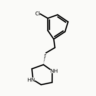 Clc1cccc(CC[C@H]2CNCCN2)c1